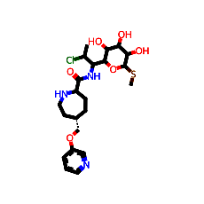 CSC1OC(C(NC(=O)C2CC[C@H](COc3cccnc3)CCN2)C(C)Cl)C(O)C(O)C1O